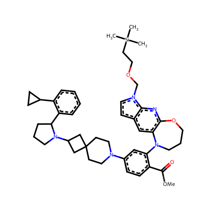 COC(=O)c1ccc(N2CCC3(CC2)CC(N2CCCC2c2ccccc2C2CC2)C3)cc1N1CCCOc2nc3c(ccn3COCC[Si](C)(C)C)cc21